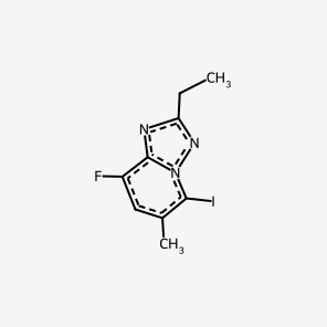 CCc1nc2c(F)cc(C)c(I)n2n1